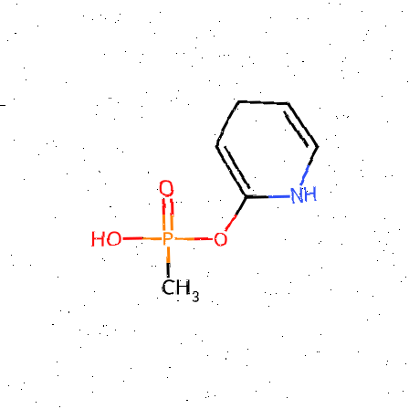 CP(=O)(O)OC1=CCC=CN1